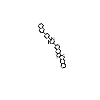 c1ccc2cc(-c3ccc(-c4ncc(-c5ccc6cc7c(cc6c5)sc5c6cc8ccccc8cc6sc75)cn4)cc3)ccc2c1